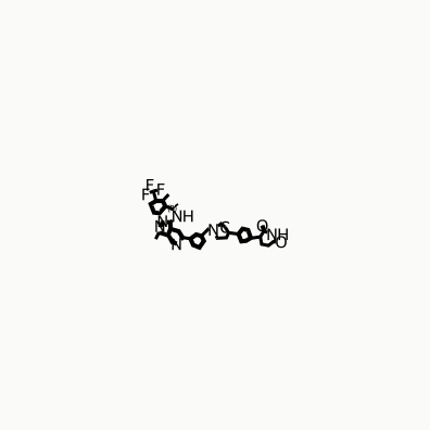 Cc1c([C@@H](C)Nc2nnc(C)c3cnc(-c4cccc(CN5CCC(c6ccc(C7CCC(=O)NC7=O)cc6)CC5)c4)cc23)cccc1C(F)(F)F